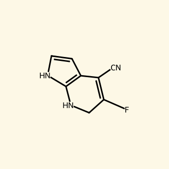 N#CC1=C(F)CNc2[nH]ccc21